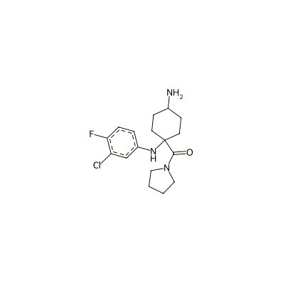 NC1CCC(Nc2ccc(F)c(Cl)c2)(C(=O)N2CCCC2)CC1